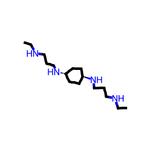 CCNCCCN[C@H]1CC[C@H](NCCCNCC)CC1